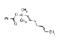 C/C=C/CC/C=C/C(C)(C)OC(=O)C(C)C